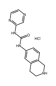 Cl.O=C(Nc1ccc2c(c1)CCNC2)Nc1cnccn1